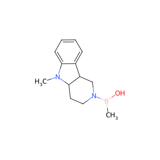 CB(O)N1CCC2C(C1)c1ccccc1N2C